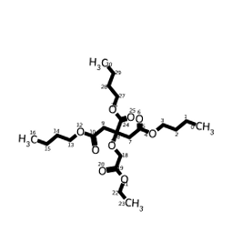 CCCCOC(=O)CC(CC(=O)OCCCC)(OCC(=O)OCC)C(=O)OCCCC